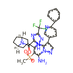 CS(=O)(=O)c1c(C2C[C@H]3CC[C@@H](C2)N3C(=O)c2nc(C(F)(F)F)n[nH]2)nc2c(-c3ccc(-c4ccccc4)nc3)cnn2c1N